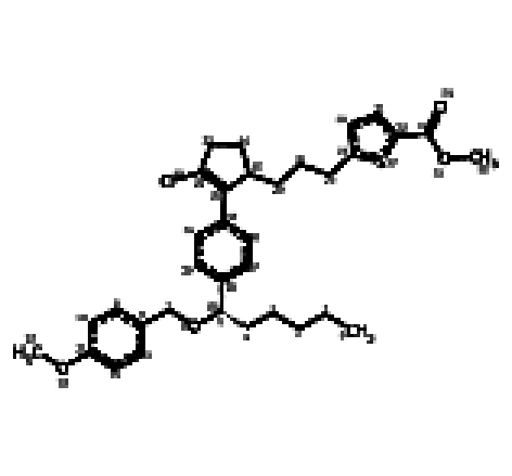 CCCCC[C@H](OCc1ccc(OC)cc1)c1ccc(C2=C(Cl)CCC2CCCc2ccc(C(=O)OC)s2)cc1